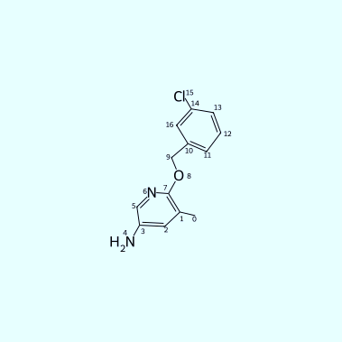 Cc1cc(N)cnc1OCc1cccc(Cl)c1